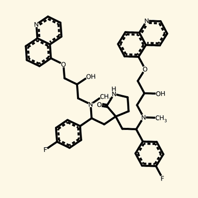 CN(CC(O)COc1cccc2ncccc12)C(CC1(CC(c2ccc(F)cc2)N(C)CC(O)COc2cccc3ncccc23)CCNC1=O)c1ccc(F)cc1